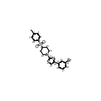 Cc1ccc(S(=O)(=O)C2CCN(c3nc(-c4cccc(Br)c4)cs3)CC2)cc1